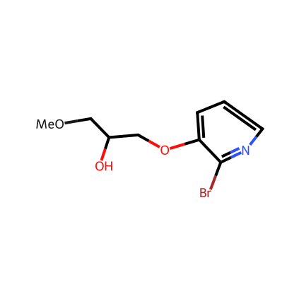 COCC(O)COc1cccnc1Br